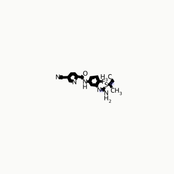 C/C=C(/C)S/C(N)=N\c1cc(NC(=O)c2ccc(C#N)cn2)ccc1F